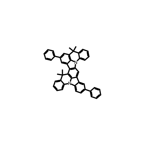 CC1(C)c2ccccc2-n2c3ccc(-c4ccccc4)cc3c3cc4c(c1c32)c1cc(-c2ccccc2)cc2c1n4-c1ccccc1C2(C)C